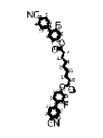 N#Cc1ccc(-c2ccc(OC(=O)CCCCCCCC(=O)Oc3ccc(-c4ccc(C#N)cc4)c(F)c3)cc2F)cc1